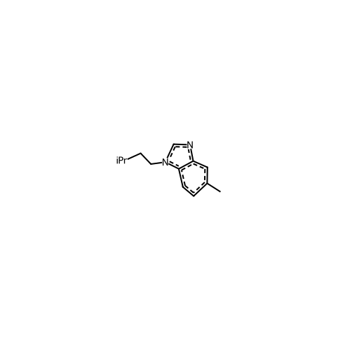 Cc1ccc2c(c1)ncn2CCC(C)C